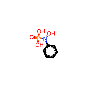 O=P(O)(O)N(O)c1ccccc1